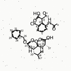 CC(=O)Nc1cccc(Cl)c1C(C=O)C(=O)O.CC(C)C[C@H](NC(=O)OCc1ccccc1)C(=O)N[C@@H](C)C(=O)O